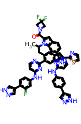 CC(Cc1cc2cc(-c3nccs3)[nH]c2cc1-c1nccc(Nc2ccc(-c3cn[nH]c3)c(F)c2)n1)n1c(C(=O)N2CC(F)(F)C2)cc2ccc(-c3nccc(Nc4ccc(-c5cn[nH]c5)cc4)n3)cc21